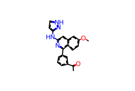 COc1ccc2c(-c3cccc(C(C)=O)c3)nc(Nc3cc[nH]n3)cc2c1